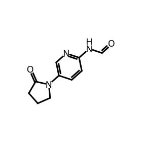 O=CNc1ccc(N2CCCC2=O)cn1